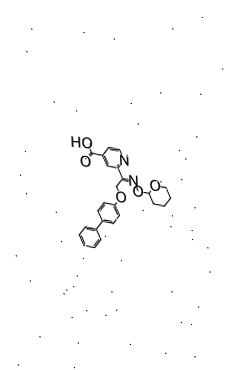 O=C(O)c1ccnc(/C(COc2ccc(-c3ccccc3)cc2)=N/OC2CCCCO2)c1